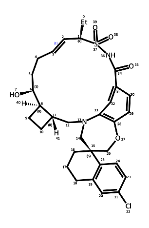 CC[C@@H]1/C=C/CC[C@H](O)[C@@H]2CC[C@H]2CN2C[C@@]3(CCCc4cc(Cl)ccc43)COc3ccc(cc32)C(=O)NS1(=O)=O